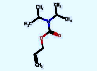 C=CCOC(=O)N(C(C)C)C(C)C